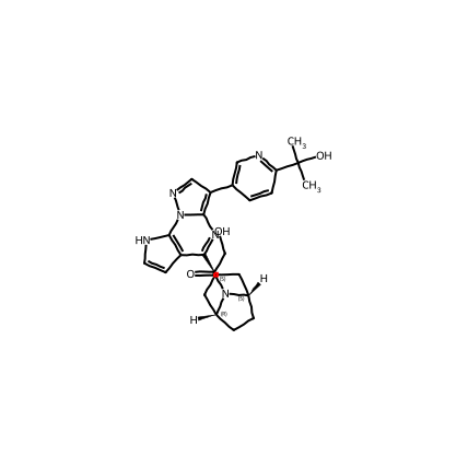 CC(C)(O)c1ccc(-c2cnn3c2nc([C@@H]2C[C@H]4CC[C@@H](C2)N4C(=O)CO)c2cc[nH]c23)cn1